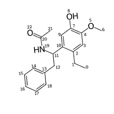 CCc1cc(OC)c(O)cc1C(Cc1ccccc1)NC(C)=O